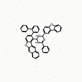 c1ccc(C2=NC(c3ccc4oc5ccccc5c4c3)NC(c3c(-c4ccccc4-c4ccccc4)ccc4oc5cc6ccccc6cc5c34)N2)cc1